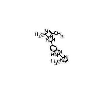 Cc1ncc(C)n2nc(-c3ccc4[nH]c(-c5nccn5C)nc4c3)nc12